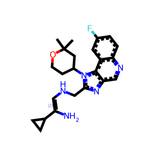 CC1(C)CC(n2c(CN/C=C(\N)C3CC3)nc3cnc4ccc(F)cc4c32)CCO1